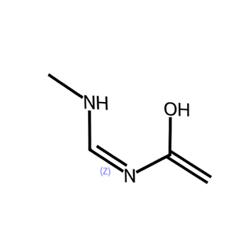 C=C(O)/N=C\NC